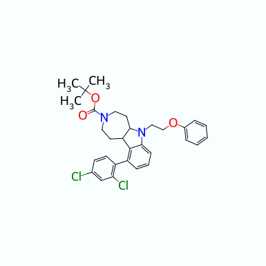 CC(C)(C)OC(=O)N1CCC2c3c(-c4ccc(Cl)cc4Cl)cccc3N(CCOc3ccccc3)C2CC1